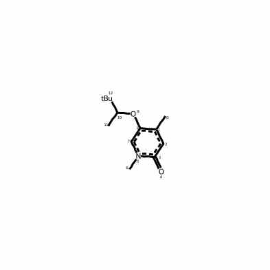 Cc1cc(=O)n(C)cc1OC(C)C(C)(C)C